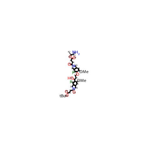 COc1cc2c(c(F)c1OCCC(O)c1c(OC)cc3c(c1F)CN(C(=O)CCC(=O)OC(C)(C)C)C3)CN(C(=O)CCC(=O)O[C@@H](C)CN)C2